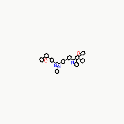 C1=CC(c2c3c(cc4c(-c5cccc(-c6ccc(-c7cc(-c8ccc(-c9cccc%10c9oc9ccccc9%10)cc8)nc(-c8ccccc8)n7)cc6)c5)nc5ccccc5c24)oc2ccccc23)=CCC1